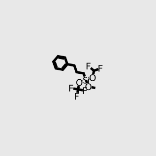 CO[Si](CCCc1ccccc1)(OC(F)F)OC(F)(F)F